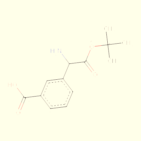 CC(C)(C)OC(=O)C(N)c1cccc(C(=O)O)c1